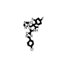 CC(NC(=O)c1nc(-c2ccc(Cl)cc2)no1)C(O)(Cn1cncn1)c1ccc(F)cc1F